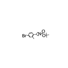 Cc1cc(Br)ccc1C1CN(C(=O)OC(C)(C)C)C1